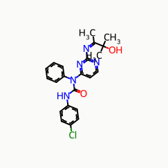 CC(=Nc1nccc(N(C(=O)Nc2ccc(Cl)cc2)c2ccccc2)n1)C(C)(C)O